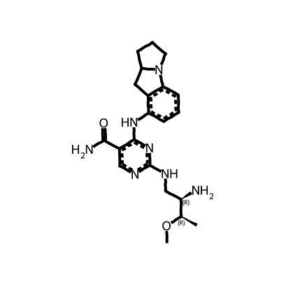 CO[C@H](C)[C@H](N)CNc1ncc(C(N)=O)c(Nc2cccc3c2CC2CCCN32)n1